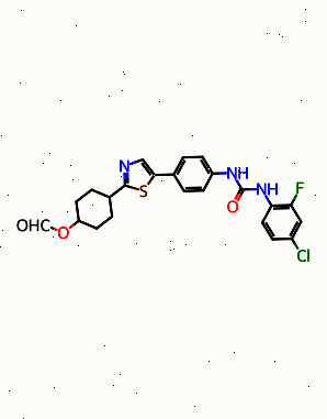 O=COC1CCC(c2ncc(-c3ccc(NC(=O)Nc4ccc(Cl)cc4F)cc3)s2)CC1